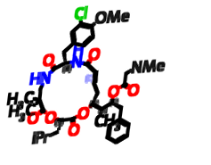 CNCC(=O)O[C@@H](Cc1ccccc1)[C@@H](C)[C@@H]1C/C=C/C(=O)N[C@H](Cc2ccc(OC)c(Cl)c2)C(=O)NCC(C)(C)C(=O)O[C@@H](CC(C)C)C(=O)O1